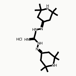 CC1(C)CC(=NNC(=N)NN=C2CC(C)(C)NC(C)(C)C2)CC(C)(C)N1.Cl